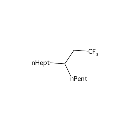 CCCCCCCC(CCCCC)CC(F)(F)F